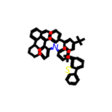 CC(C)(C)c1cc(-c2ccccc2N(c2ccc(-c3cccc4c3sc3ccccc34)cc2)c2ccccc2-c2cccc3cccc(C4CCCCC4)c23)cc(C(C)(C)C)c1